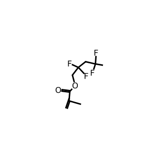 C=C(C)C(=O)OCC(F)(F)CC(C)(F)F